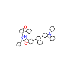 c1ccc(-c2nc(-c3cccc4oc5ccccc5c34)nc3c2oc2ccc(-c4ccc(-c5ccc6c(c5)c5ccccc5n6-c5ccccc5)c5ccccc45)cc23)cc1